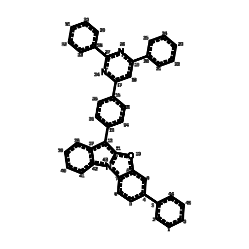 c1ccc(-c2ccc3c(c2)oc2c(-c4ccc(-c5cc(-c6ccccc6)nc(-c6ccccc6)n5)cc4)c4ccccc4n23)cc1